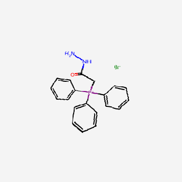 NNC(=O)C[P+](c1ccccc1)(c1ccccc1)c1ccccc1.[Br-]